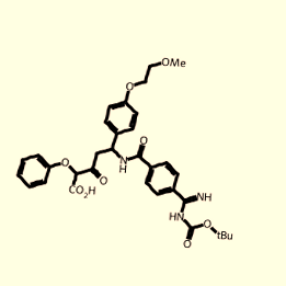 COCCOc1ccc(C(CC(=O)C(Oc2ccccc2)C(=O)O)NC(=O)c2ccc(C(=N)NC(=O)OC(C)(C)C)cc2)cc1